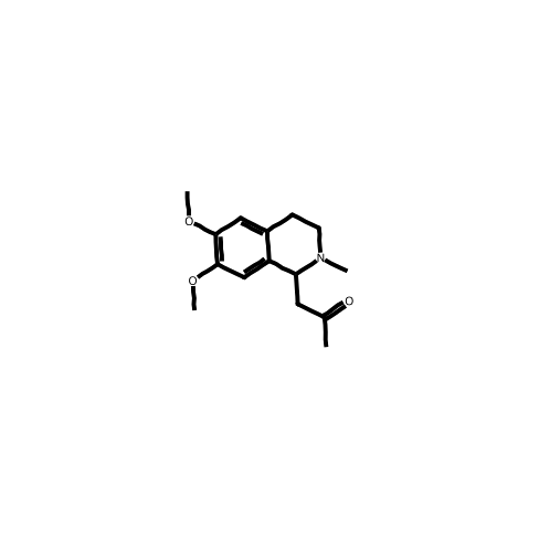 COc1cc2c(cc1OC)C(CC(C)=O)N(C)CC2